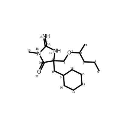 CCCC(C)OCC1(CC2CCCCC2)NC(=N)N(C)C1=O